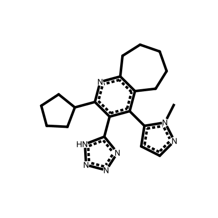 Cn1nccc1-c1c2c(nc(C3CCCC3)c1-c1nnn[nH]1)CCCCC2